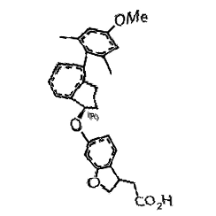 COc1cc(C)c(-c2cccc3c2CC[C@H]3Oc2ccc3c(c2)OCC3CC(=O)O)c(C)c1